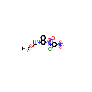 COCCCNc1ccc(N=Nc2c(Cl)cc([N+](=O)[O-])cc2[N+](=O)[O-])c2ccccc12